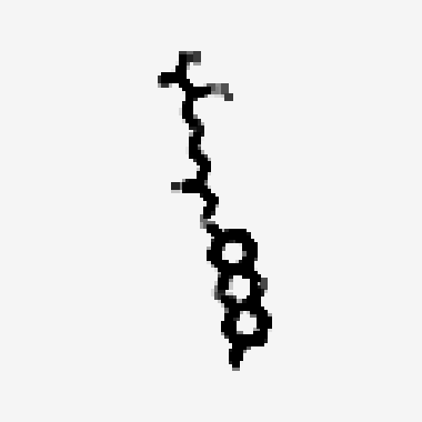 NC(CSCCC(=O)COc1ccc2nc3ccc(=O)cc-3oc2c1)C(=O)O